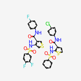 O=C(Nc1ccc(Cl)cc1)c1ccsc1NS(=O)(=O)c1ccccc1.O=C(Nc1ccc(F)cc1)c1cscc1NS(=O)(=O)c1ccc(F)c(F)c1